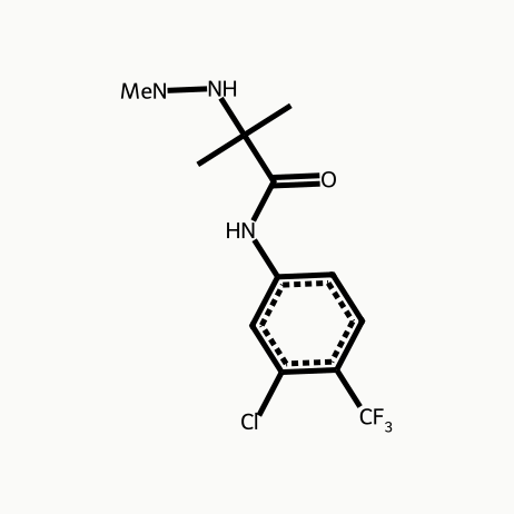 CNNC(C)(C)C(=O)Nc1ccc(C(F)(F)F)c(Cl)c1